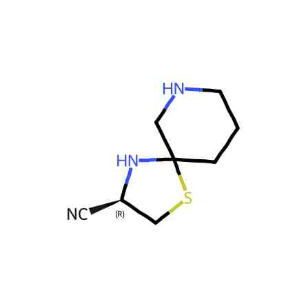 N#C[C@@H]1CSC2(CCCNC2)N1